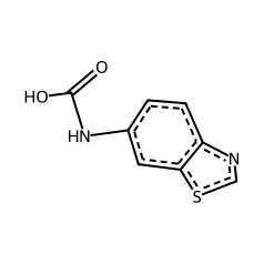 O=C(O)Nc1ccc2ncsc2c1